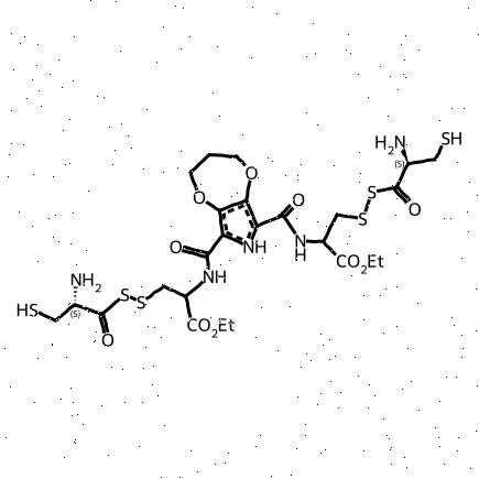 CCOC(=O)C(CSSC(=O)[C@@H](N)CS)NC(=O)c1[nH]c(C(=O)NC(CSSC(=O)[C@@H](N)CS)C(=O)OCC)c2c1OCCCO2